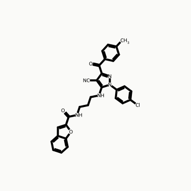 Cc1ccc(C(=O)c2nn(-c3ccc(Cl)cc3)c(NCCCNC(=O)c3cc4ccccc4o3)c2C#N)cc1